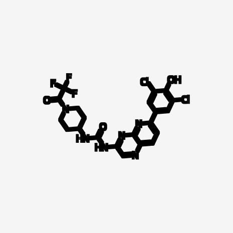 O=C(Nc1cnc2ccc(-c3cc(Cl)c(O)c(Cl)c3)nc2n1)NC1CCN(C(=O)C(F)(F)F)CC1